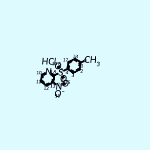 Cc1ccc(S(=O)(=O)c2ncccc2[N+](=O)[O-])cc1.Cl